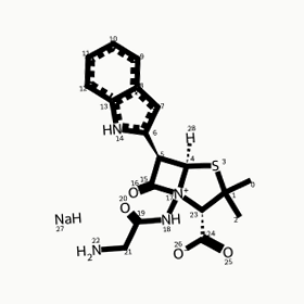 CC1(C)S[C@@H]2[C@H](c3cc4ccccc4[nH]3)C(=O)[N+]2(NC(=O)CN)[C@H]1C(=O)[O-].[NaH]